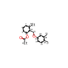 CCC(=O)Oc1cccc(CC)c1COc1ccc(C)c(C)c1